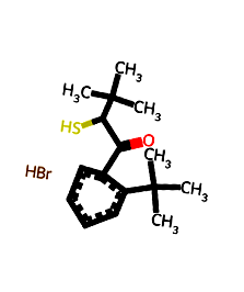 Br.CC(C)(C)c1ccccc1C(=O)C(S)C(C)(C)C